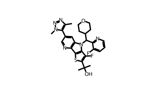 Cc1nnn(C)c1-c1cnc2c3sc(C(C)(C)O)c(F)c3n(C(c3ncccc3F)C3CCOCC3)c2c1